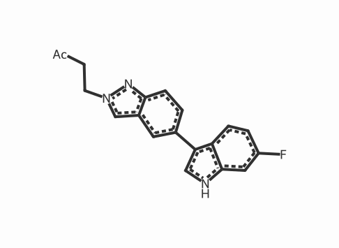 CC(=O)CCn1cc2cc(-c3c[nH]c4cc(F)ccc34)ccc2n1